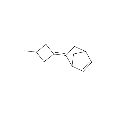 CC1CC(=C2CC3C=CC2C3)C1